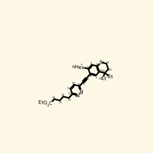 CCCCCCc1cc2c(cc1C#Cc1ccc(CCCCC(=O)OCC)nn1)C(CC)(CC)CCS2